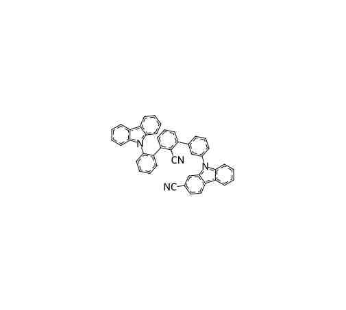 N#Cc1ccc2c3ccccc3n(-c3cccc(-c4cccc(-c5ccccc5-n5c6ccccc6c6ccccc65)c4C#N)c3)c2c1